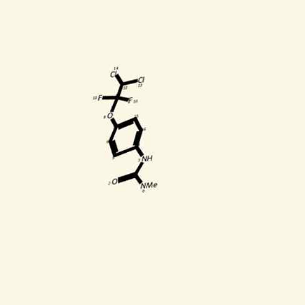 CNC(=O)Nc1ccc(OC(F)(F)C(Cl)Cl)cc1